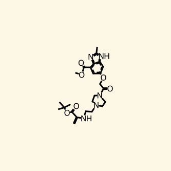 C=C(NCCN1CCN(C(=O)COc2cc(C(=O)OC)c3nc(C)[nH]c3c2)CC1)C(=O)OC(C)(C)C